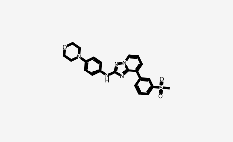 CS(=O)(=O)c1cccc(-c2cccn3nc(Nc4ccc(N5CCOCC5)cc4)nc23)c1